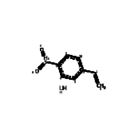 C=Cc1ccc([SH](=O)=O)cc1.[LiH]